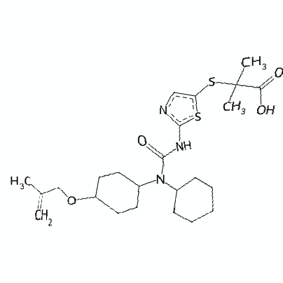 C=C(C)COC1CCC(N(C(=O)Nc2ncc(SC(C)(C)C(=O)O)s2)C2CCCCC2)CC1